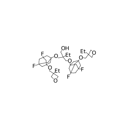 CCC1(COC23CC4(F)CC(F)(C2)CC(OCC(CC)(CO)COC25CC6(F)CC(F)(CC(OCC7(CC)COC7)(C6)C2)C5)(C4)C3)COC1